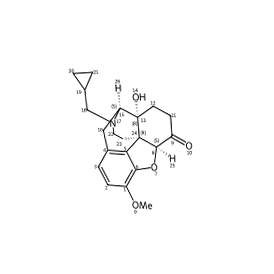 COc1ccc2c3c1O[C@@H]1C(=O)CC[C@]4(O)[C@H](C2)N(CC2CC2)CC[C@@]314